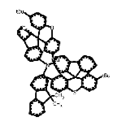 CC(C)(C)c1ccc2c(c1)C1(c3cc(C(C)(C)C)ccc3O2)c2ccccc2-c2ccc(N(c3ccc4c(c3)C(C)(C)c3ccccc3-4)c3ccc4c(c3)C3(c5cc(C(C)(C)C)ccc5Sc5ccc(C(C)(C)C)cc53)c3ccccc3-4)cc21